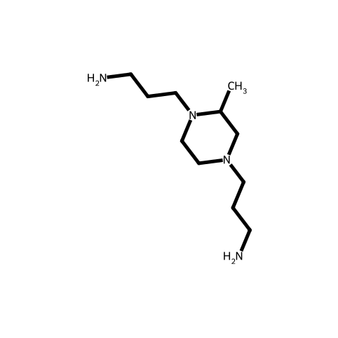 CC1CN(CCCN)CCN1CCCN